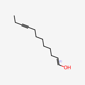 CCC#CCCCCCC/C=C/O